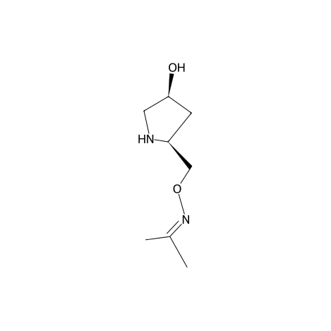 CC(C)=NOC[C@@H]1C[C@H](O)CN1